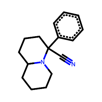 N#CC1(c2ccccc2)CCCC2CCCCN21